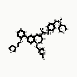 C1CCOC1.CCOc1ccccc1-c1ccc2c(c1)C=C(C(=O)Nc1ccc(CN(C)C3CCOCC3)cc1)CCN2Cc1coc(C)n1